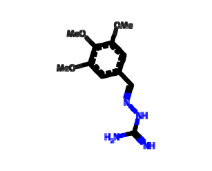 COc1cc(C=NNC(=N)N)cc(OC)c1OC